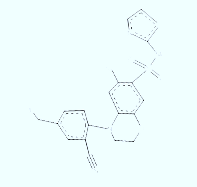 N#Cc1cc(CF)ccc1N1CCOc2cc(S(=O)(=O)Nc3nccs3)c(Cl)cc21